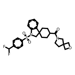 O=C(C1CCC2(CC1)CN(S(=O)(=O)c1ccc(C(F)F)cc1)c1ccccc12)N1CCC2(COC2)C1